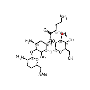 CNCC1CCC(N)[C@@H](OC2C(O)[C@@H](O[C@H]3OC(CO)[C@H](O)[C@H](N)C3O)[C@H](NC(=O)[C@@H](O)CCN)C[C@@H]2N)O1